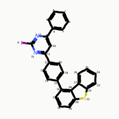 Ic1nc(-c2ccccc2)cc(-c2ccc(-c3cccc4sc5ccccc5c34)cc2)n1